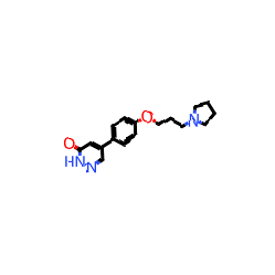 O=c1cc(-c2ccc(OCCCN3CCCC3)cc2)cn[nH]1